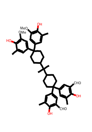 COc1cc(C2(c3cc(C)c(O)c(OC)c3)CCC(C(C)(C)C3CCC(c4cc(C)c(O)c(C=O)c4)(c4cc(C)c(O)c(C=O)c4)CC3)CC2)cc(C)c1O